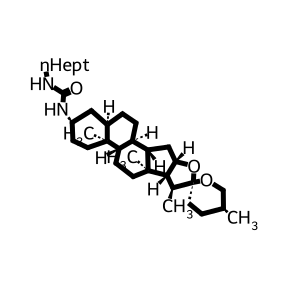 CCCCCCCNC(=O)N[C@H]1CC[C@@]2(C)[C@H](CC[C@@H]3[C@@H]2CC[C@]2(C)[C@@H]4[C@H](C[C@@H]32)O[C@]2(CC[C@@H](C)CO2)[C@H]4C)C1